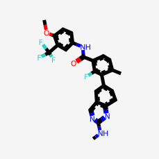 CNc1ncc2cc(-c3c(C)ccc(C(=O)Nc4ccc(OC)c(C(F)(F)F)c4)c3F)ccc2n1